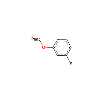 [CH2]CCC(C)Oc1cccc(F)c1